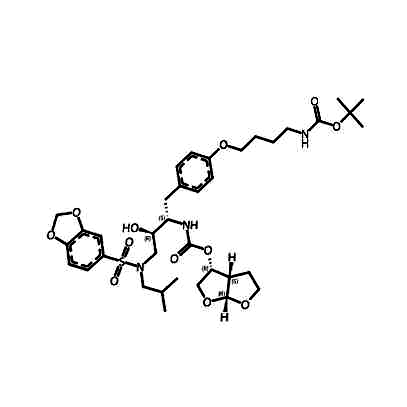 CC(C)CN(C[C@@H](O)[C@H](Cc1ccc(OCCCCNC(=O)OC(C)(C)C)cc1)NC(=O)O[C@H]1CO[C@H]2OCC[C@H]21)S(=O)(=O)c1ccc2c(c1)OCO2